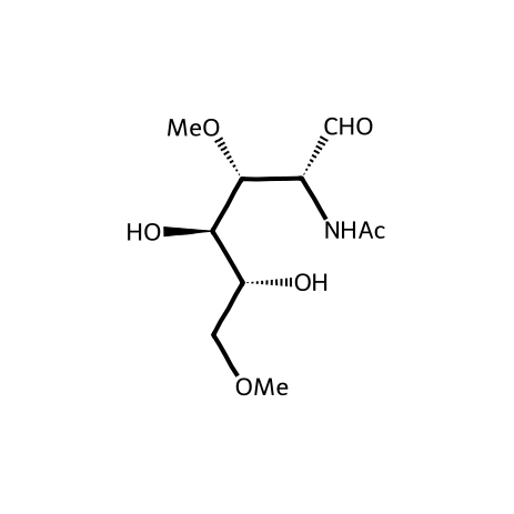 COC[C@@H](O)[C@@H](O)[C@H](OC)[C@H](C=O)NC(C)=O